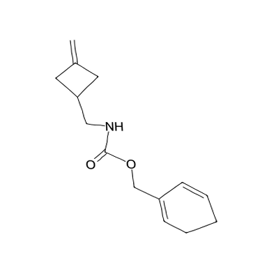 C=C1CC(CNC(=O)OCC2=CCCC=C2)C1